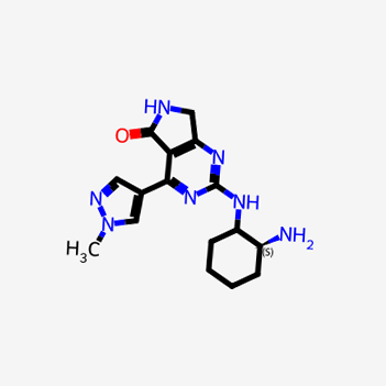 Cn1cc(-c2nc(NC3CCCC[C@@H]3N)nc3c2C(=O)NC3)cn1